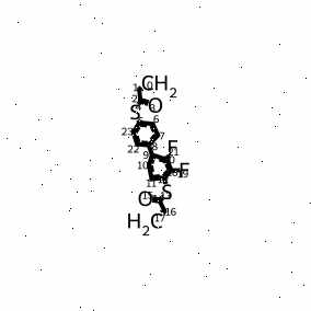 C=CC(=O)Sc1ccc(-c2ccc(SC(=O)C=C)c(F)c2F)cc1